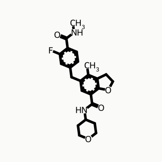 CNC(=O)c1ccc(Cc2cc(C(=O)NC3CCOCC3)c3c(c2C)CCO3)cc1F